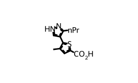 CCCc1n[nH]cc1-c1sc(C(=O)O)cc1C